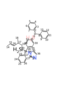 BC(c1ccccc1)c1ccccc1.CC=CC(C)C[SiH2]C(c1ccccc1)(c1ccccc1)n1ccnc1